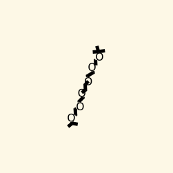 CC(C)OCCOCCOCCOCCOCCOC(C)(C)C